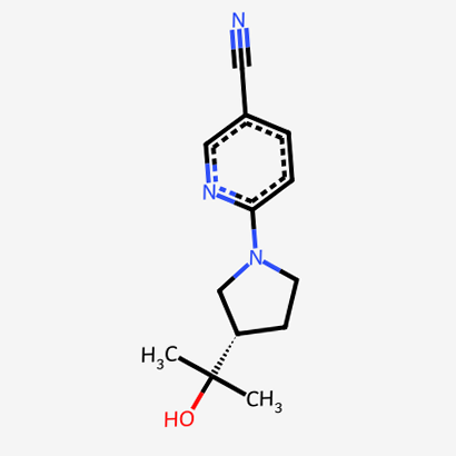 CC(C)(O)[C@H]1CCN(c2ccc(C#N)cn2)C1